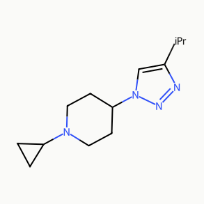 CC(C)c1cn(C2CCN(C3CC3)CC2)nn1